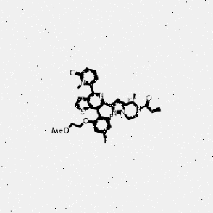 C=CC(=O)N1CCn2nc(-c3nc(-c4cccc(=O)n4C)c4ccsc4c3-c3c(F)cc(F)cc3OCCOC)cc2[C@H]1C